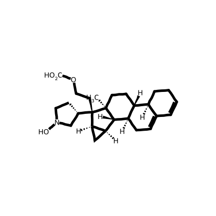 C[C@]12CC[C@H]3[C@@H](CC=C4C=CCC[C@@H]43)[C@@H]1[C@H]1C[C@H]1[C@]2(CCOC(=O)O)[C@H]1CCN(O)C1